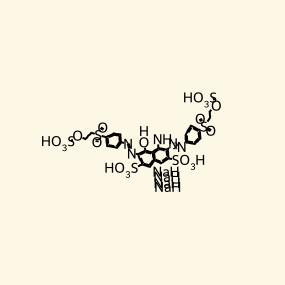 Nc1c(N=Nc2ccc(S(=O)(=O)CCOS(=O)(=O)O)cc2)c(S(=O)(=O)O)cc2cc(S(=O)(=O)O)c(N=Nc3ccc(S(=O)(=O)CCOS(=O)(=O)O)cc3)c(O)c12.[NaH].[NaH].[NaH].[NaH]